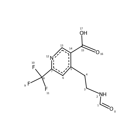 O=CNCCc1cc(C(F)(F)F)ncc1C(=O)O